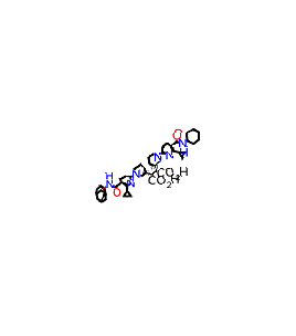 O=C(NC1CCCCC1)c1ccc(N2CCC[C@@H](C(C(=O)O)C(C(=O)O)[C@@H]3CCCN(c4ccc(C(=O)NC5C6CC7CC(C6)CC5C7)c(C5CC5)n4)C3)C2)nc1C1CC1